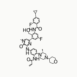 C=CC(=O)Nc1cc(Nc2nc(-c3cc(F)cc(NC(=O)c4ccc(C5CC5)cc4F)c3CO)cn(C)c2=O)ccc1N1CCN(C2CCOCC2)C[C@@H]1C